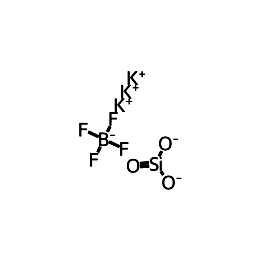 F[B-](F)(F)F.O=[Si]([O-])[O-].[K+].[K+].[K+]